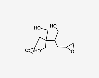 OCC(CC1CO1)C(CO)(CO)CC1CO1